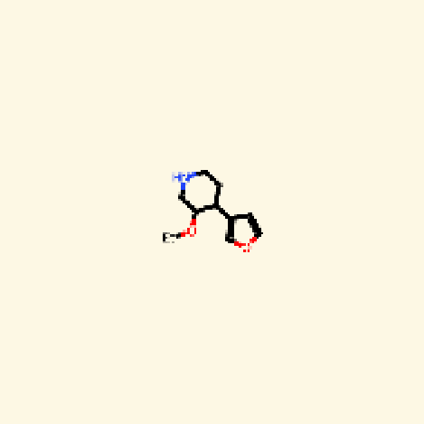 CCOC1CNCCC1c1ccoc1